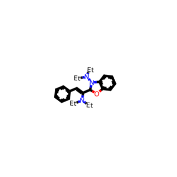 CCN(CC)C(=Cc1ccccc1)C1Oc2ccccc2N1N(CC)CC